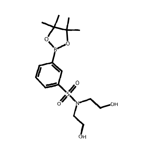 CC1(C)OB(c2cccc(S(=O)(=O)N(CCO)CCO)c2)OC1(C)C